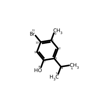 Cc1cc(C(C)C)c(O)cc1Br